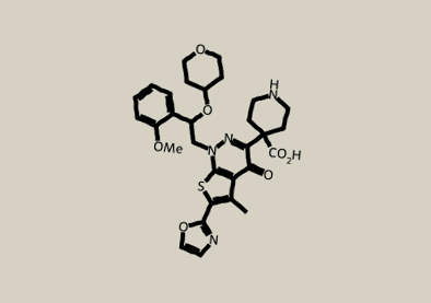 COc1ccccc1C(Cn1nc(C2(C(=O)O)CCNCC2)c(=O)c2c(C)c(-c3ncco3)sc21)OC1CCOCC1